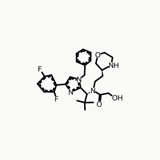 CC(C)(C)[C@H](c1nc(-c2cc(F)ccc2F)cn1Cc1ccccc1)N(CC[C@H]1COCCN1)C(=O)CO